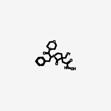 CC(C)CC1(CC(=O)NO)CCN(C(Cc2ccccc2)C(=O)N2CCOCC2)C1=O